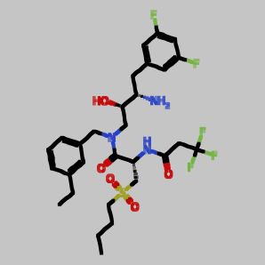 CCCCS(=O)(=O)C[C@@H](NC(=O)CC(F)(F)F)C(=O)N(Cc1cccc(CC)c1)C[C@@H](O)[C@@H](N)Cc1cc(F)cc(F)c1